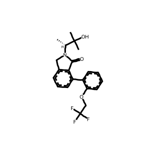 C[C@@H](N1Cc2cccc(-c3ccccc3OCC(F)(F)F)c2C1=O)C(C)(C)O